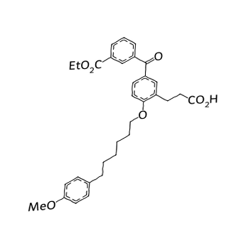 CCOC(=O)c1cccc(C(=O)c2ccc(OCCCCCCc3ccc(OC)cc3)c(CCC(=O)O)c2)c1